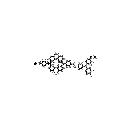 CCCCc1ccc(N(c2ccc(C)cc2)c2ccc(/C=C\c3ccc(N(c4ccc(C)cc4)c4ccc(/C=C/c5ccc(N(c6ccc(C)cc6)c6ccc(CCCC)cc6)cc5)cc4)cc3)cc2)cc1